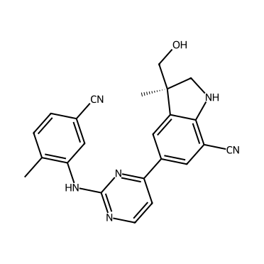 Cc1ccc(C#N)cc1Nc1nccc(-c2cc(C#N)c3c(c2)[C@@](C)(CO)CN3)n1